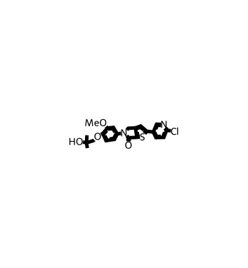 COc1cc(N2Cc3cc(-c4ccc(Cl)nc4)sc3C2=O)ccc1OCC(C)(C)O